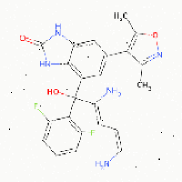 Cc1noc(C)c1-c1cc(C(O)(/C(N)=C/C=C\N)c2c(F)cccc2F)c2[nH]c(=O)[nH]c2c1